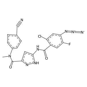 CN(C(=O)c1cc(NC(=O)c2cc(F)c(N=[N+]=[N-])cc2Cl)[nH]n1)c1ccc(C#N)cc1